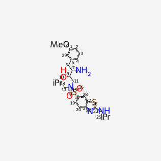 COc1cccc(C[C@H](N)[C@H](O)CN(CC(C)C)S(=O)(=O)c2ccc3nc(NC(C)C)sc3c2)c1